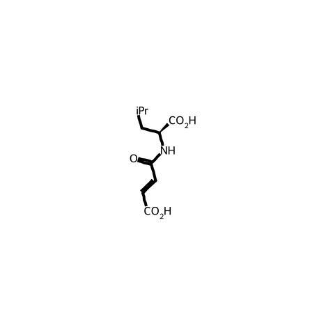 CC(C)C[C@H](NC(=O)/C=C/C(=O)O)C(=O)O